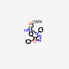 CCNc1ccc(-c2c(-c3ccccc3)oc3ncnc(N(CCCCCC(=O)OC)c4ccccc4)c23)cc1